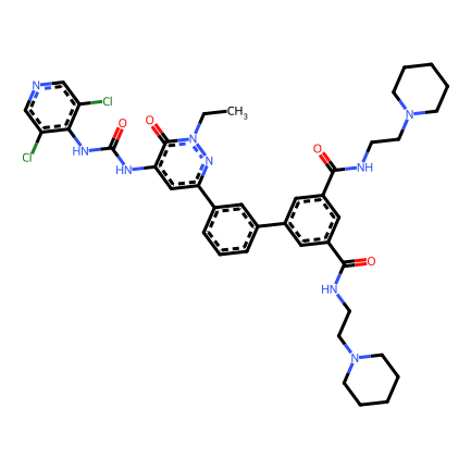 CCn1nc(-c2cccc(-c3cc(C(=O)NCCN4CCCCC4)cc(C(=O)NCCN4CCCCC4)c3)c2)cc(NC(=O)Nc2c(Cl)cncc2Cl)c1=O